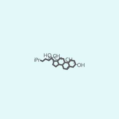 CC(C)CCC[C@@](C)(O)C1CCC2C3CC=C4C[C@@H](O)CC[C@]4(C)C3CC[C@@]21C